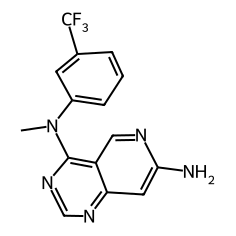 CN(c1cccc(C(F)(F)F)c1)c1ncnc2cc(N)ncc12